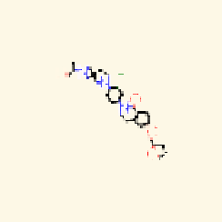 COCC(C)N1CC2(CCN(c3ccc(N4CCc5cc(OCC6CCCO6)ccc5C4=O)cc3F)C2)C1